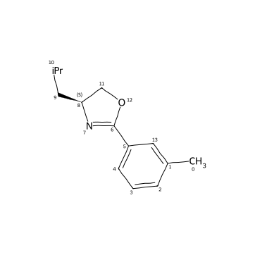 Cc1cccc(C2=N[C@@H](CC(C)C)CO2)c1